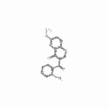 COc1ccc2occ(C(=O)c3ccccc3C)c(=O)c2c1